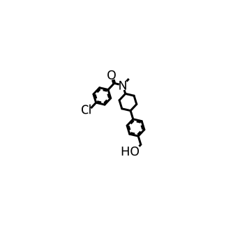 CN(C(=O)c1ccc(Cl)cc1)C1CCC(c2ccc(CO)cc2)CC1